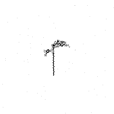 CCCCCCCCCCCCCCCCCCOC[C@H](COP(=O)(O)OCC(C#N)(OC)[C@@H](O)[C@@H](O)c1ccc2c(N)ncnn12)OCc1ccc(OC)c(C#N)c1